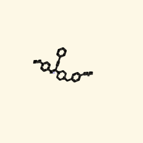 CCOC(=O)c1ccc(CN2CCN(/C(C#Cc3ccccc3)=N/c3ccc(OC)cc3)CC2)cc1